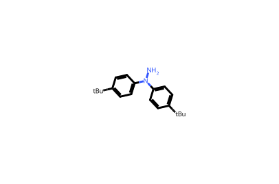 CC(C)(C)c1ccc(N(N)c2ccc(C(C)(C)C)cc2)cc1